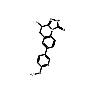 COc1ccc(-c2ccc3c(c2)CC(N)c2n[nH]c(=O)n2-3)cn1